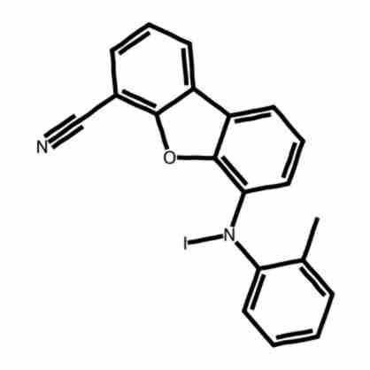 Cc1ccccc1N(I)c1cccc2c1oc1c(C#N)cccc12